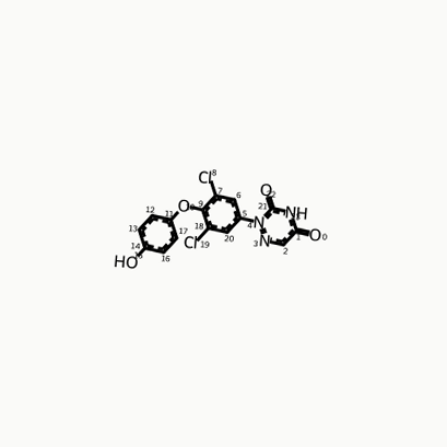 O=c1cnn(-c2cc(Cl)c(Oc3ccc(O)cc3)c(Cl)c2)c(=O)[nH]1